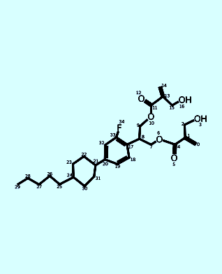 C=C(CO)C(=O)OCC(COC(=O)C(=C)CO)c1ccc(C2CCC(CCCCC)CC2)cc1F